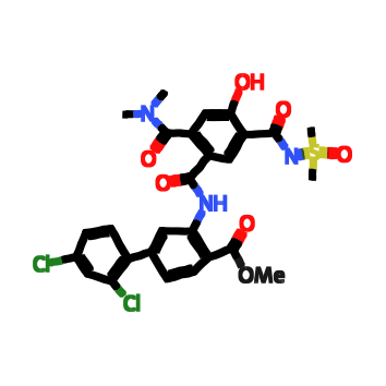 COC(=O)c1ccc(-c2ccc(Cl)cc2Cl)cc1NC(=O)c1cc(C(=O)N=S(C)(C)=O)c(O)cc1C(=O)N(C)C